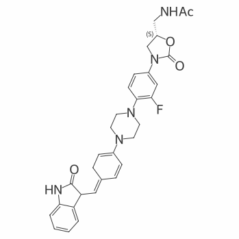 CC(=O)NC[C@H]1CN(c2ccc(N3CCN(C4=CCC(=CC5C(=O)Nc6ccccc65)C=C4)CC3)c(F)c2)C(=O)O1